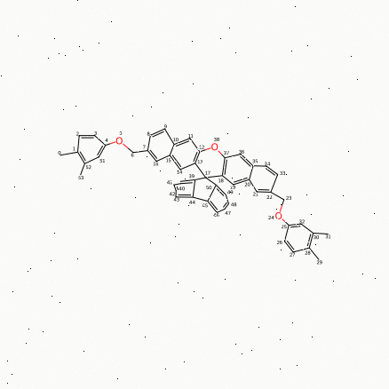 Cc1ccc(OCc2ccc3cc4c(cc3c2)C2(c3cc5cc(COc6ccc(C)c(C)c6)ccc5cc3O4)c3ccccc3-c3ccccc32)cc1C